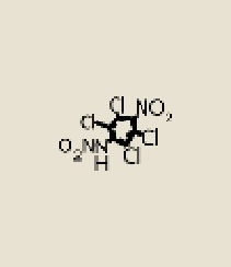 O=[N+]([O-])Nc1c(Cl)c(Cl)c([N+](=O)[O-])c(Cl)c1Cl